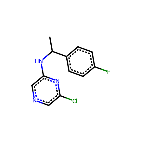 CC(Nc1cncc(Cl)n1)c1ccc(F)cc1